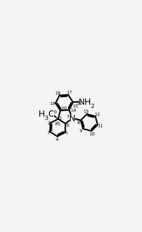 C[C@]12C=CC=CC1N(c1ccccc1)c1c(N)cccc12